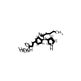 CCCCc1nc2cc(/C=C/C(=O)NO)ccc2n1C1CCNC1